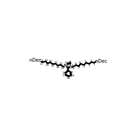 CCCCCCCCCCCCCCCCCCCn1cc[n+](CCCCCCCCCCCCCCCCCCC)c1-c1ccccc1